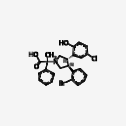 CC(C(=O)O)(c1ccccc1)N1C[C@H](c2cc(Cl)ccc2O)[C@@H](c2ccccc2Br)C1